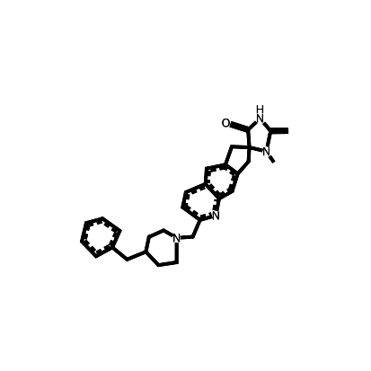 C=C1NC(=O)C2(Cc3cc4ccc(CN5CCC(Cc6ccccc6)CC5)nc4cc3C2)N1C